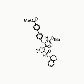 COC(=O)c1ccc(-c2ccc(C[C@H](NC(=O)OC(C)(C)C)C(=O)N3C[Si](C)(C)C[C@H]3C(=O)N[C@@H]3CCCc4ccccc43)cc2)cc1